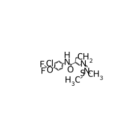 C=C/C(=C\N=C/N(C)SCC)C(=O)Nc1ccc(OC(F)(F)Cl)cc1